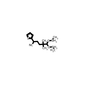 C[SiH2]OC(O[SiH2]C)C(C)(C)CCC(C#N)c1cccs1